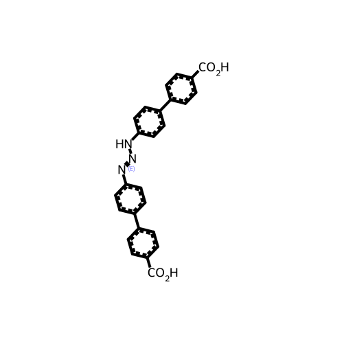 O=C(O)c1ccc(-c2ccc(/N=N/Nc3ccc(-c4ccc(C(=O)O)cc4)cc3)cc2)cc1